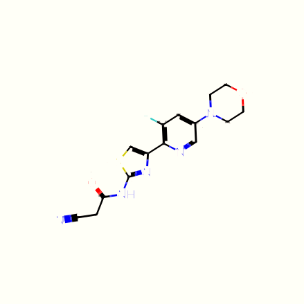 N#CCC(=O)Nc1nc(-c2ncc(N3CCOCC3)cc2F)cs1